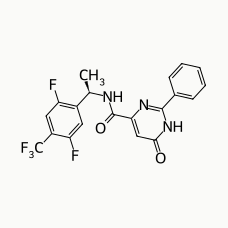 C[C@@H](NC(=O)c1cc(=O)[nH]c(-c2ccccc2)n1)c1cc(F)c(C(F)(F)F)cc1F